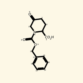 O=C1CCC(C(=O)O)N(C(=O)OCc2ccccc2)C1